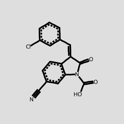 N#Cc1ccc2c(c1)N(C(=O)O)C(=O)/C2=C/c1cccc(Cl)c1